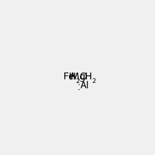 O.[Al].[Fe].[MgH2]